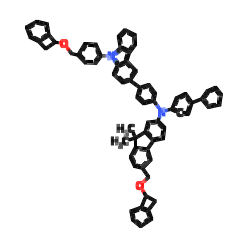 CC1(C)c2ccc(COC3Cc4ccccc43)cc2-c2ccc(N(c3ccc(-c4ccccc4)cc3)c3ccc(-c4ccc5c(c4)c4ccccc4n5-c4ccc(COC5Cc6ccccc65)cc4)cc3)cc21